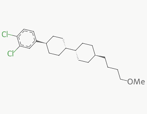 COCCCC[C@H]1CC[C@H]([C@H]2CC[C@H](c3ccc(Cl)c(Cl)c3)CC2)CC1